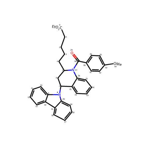 CCOC(=O)CCCCC1CC(n2c3ccccc3c3ccccc32)c2ccccc2N1C(=O)c1ccc(OC)cc1